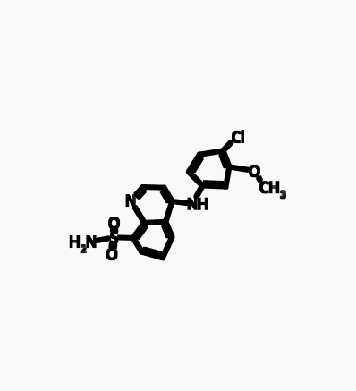 COc1cc(Nc2ccnc3c(S(N)(=O)=O)cccc23)ccc1Cl